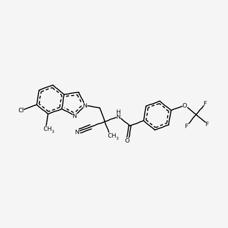 Cc1c(Cl)ccc2cn(CC(C)(C#N)NC(=O)c3ccc(OC(F)(F)F)cc3)nc12